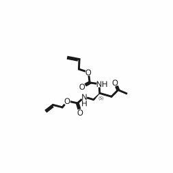 C=CCOC(=O)NC[C@H](CC(C)=O)NC(=O)OCC=C